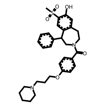 CS(=O)(=O)c1cc2c(cc1O)CCN(C(=O)c1ccc(OCCCN3CCCCC3)cc1)CC2c1ccccc1